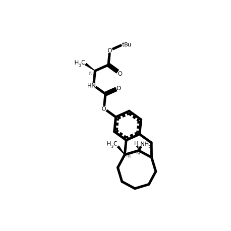 C[C@H](NC(=O)Oc1ccc2c(c1)[C@@]1(C)CCCCCC(C2)[C@@H]1N)C(=O)OC(C)(C)C